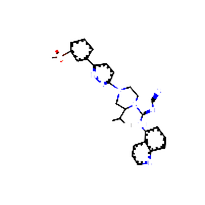 CC(C)C1CN(c2ccc(-c3cccc(S(C)(=O)=O)c3)nn2)CCN1/C(=N\C#N)Nc1cccc2ncccc12